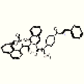 CN(C(=O)c1cc2ccccc2cc1C(=O)C(c1cccc2ccccc12)P(=O)(O)O)C1CCN(C(=O)/C=C/c2ccccc2)CC1